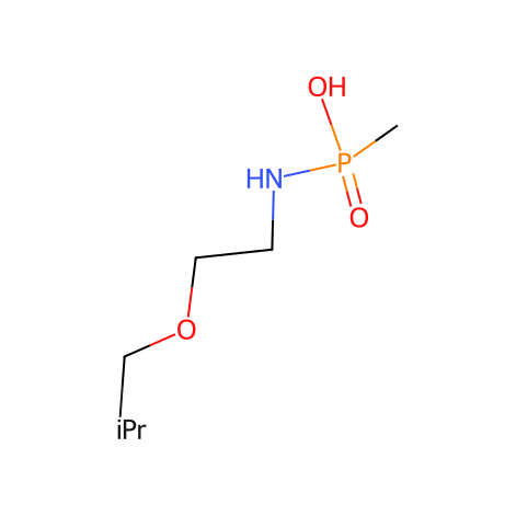 CC(C)COCCNP(C)(=O)O